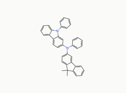 CC1(C)c2ccccc2-c2cc(N(c3ccccc3)c3ccc4c5ccccc5n(-c5ccccc5)c4c3)ccc21